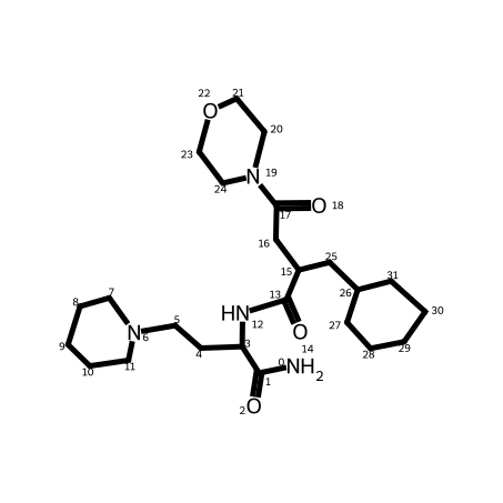 NC(=O)C(CCN1CCCCC1)NC(=O)C(CC(=O)N1CCOCC1)CC1CCCCC1